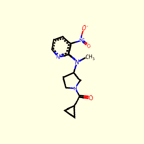 CN(c1ncccc1[N+](=O)[O-])C1CCN(C(=O)C2CC2)C1